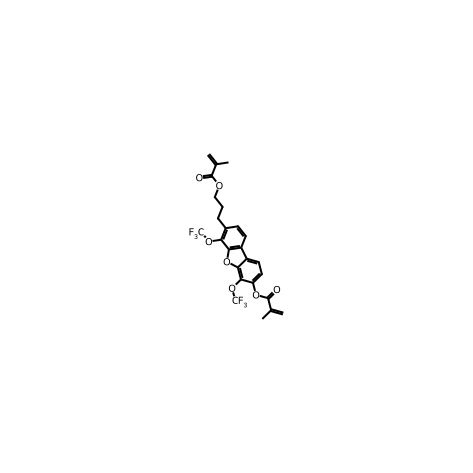 C=C(C)C(=O)OCCCc1ccc2c(oc3c(OC(F)(F)F)c(OC(=O)C(=C)C)ccc32)c1OC(F)(F)F